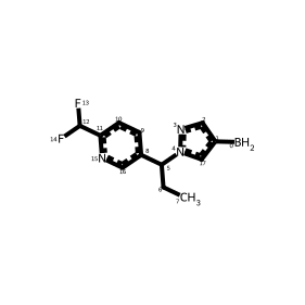 Bc1cnn(C(CC)c2ccc(C(F)F)nc2)c1